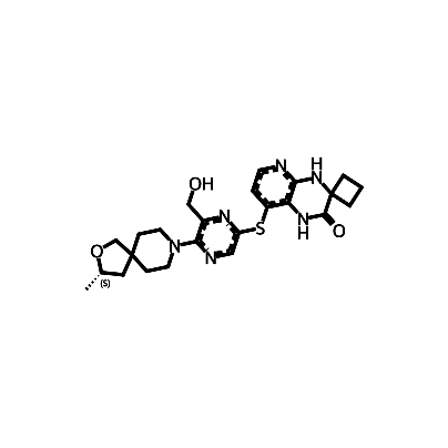 C[C@H]1CC2(CCN(c3ncc(Sc4ccnc5c4NC(=O)C4(CCC4)N5)nc3CO)CC2)CO1